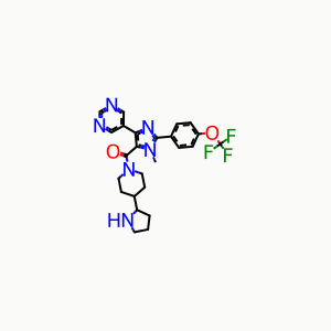 Cn1c(-c2ccc(OC(F)(F)F)cc2)nc(-c2cncnc2)c1C(=O)N1CCC(C2CCCN2)CC1